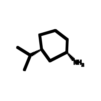 CC(C)[C@@H]1CCC[C@H](N)C1